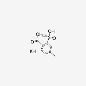 Cc1ccc(C(=O)O)c(S(=O)(=O)O)c1.[KH]